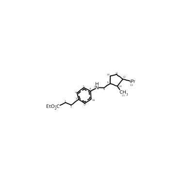 CCOC(=O)CCc1ccc(NCC2CCC(C(C)C)C2C)cc1